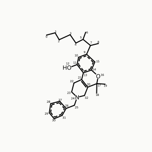 CCCCCC(C)C(C)c1cc(O)c2c(c1)OC(C)(C)C1=C2CCN(Cc2ccccc2)C1